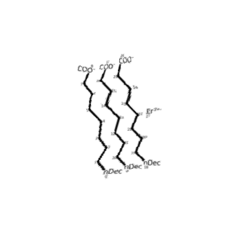 CCCCCCCCCCCCCCCCCC(=O)[O-].CCCCCCCCCCCCCCCCCC(=O)[O-].CCCCCCCCCCCCCCCCCC(=O)[O-].[Er+3]